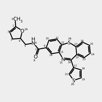 CC1=CCC(CNC(=O)c2ccc3c(c2)N=C(c2ccsc2)c2ccccc2S3)O1